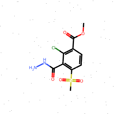 COC(=O)c1ccc(S(C)(=O)=O)c(C(=O)NN)c1Cl